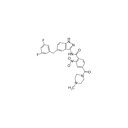 CN1CCN(C(=O)c2ccc(C(=O)Nc3n[nH]c4ccc(Cc5cc(F)cc(F)c5)cc34)c([N+](=O)[O-])c2)CC1